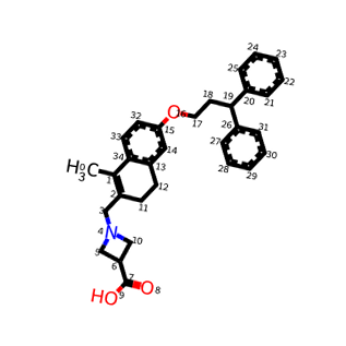 CC1=C(CN2CC(C(=O)O)C2)CCc2cc(OCCC(c3ccccc3)c3ccccc3)ccc21